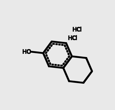 Cl.Cl.Oc1ccc2c(c1)CCCC2